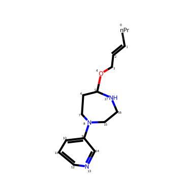 CCC/C=C/COC1CCN(c2cccnc2)CCN1